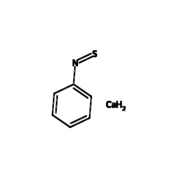 S=Nc1ccccc1.[CaH2]